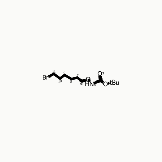 CC(C)(C)OC(=O)NOCCCCCCBr